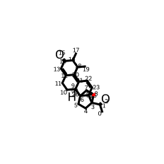 CC(=O)C12CCC3(CC1)[C@@H]1CCC4=CC(=O)C(C)C(C)C4=C1C=C[C@]23C